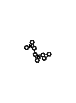 c1ccc(-n2c3ccccc3c3ccc(-c4ccc5c6ccccc6n(-c6ccc7c8c(cccc68)-c6ccccc6-7)c5c4)cc32)cc1